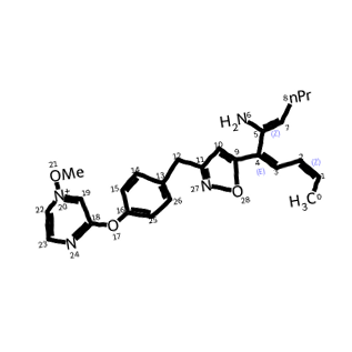 C\C=C/C=C(\C(N)=C\CCC)c1cc(Cc2ccc(Oc3c[n+](OC)ccn3)cc2)no1